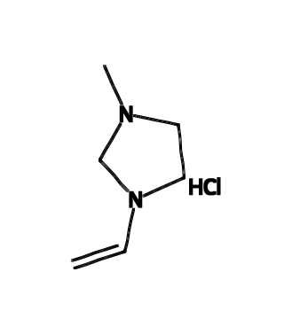 C=CN1CCN(C)C1.Cl